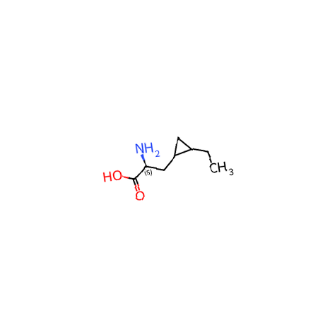 CCC1CC1C[C@H](N)C(=O)O